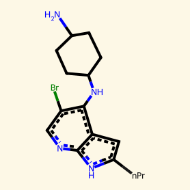 CCCc1cc2c(NC3CCC(N)CC3)c(Br)cnc2[nH]1